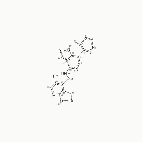 Cc1c[c]ncc1-c1cnc(NCc2c(F)ccc3c2CCO3)n2cnnc12